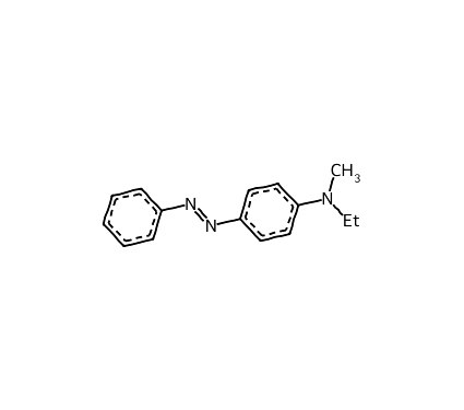 CCN(C)c1ccc(N=Nc2ccccc2)cc1